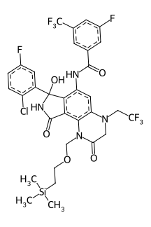 C[Si](C)(C)CCOCN1C(=O)CN(CC(F)(F)F)c2cc(NC(=O)c3cc(F)cc(C(F)(F)F)c3)c3c(c21)C(=O)NC3(O)c1cc(F)ccc1Cl